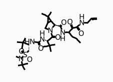 C=CCNC(=O)C(=O)C(CCC)NC(=O)[C@@H]1C2C(CN1C(=O)[C@@H](NC(=O)N[C@H](CS(=O)(=O)N(C)C(C)(C)C)C(C)(C)C)C(C)(C)C)C2(C)C